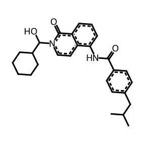 CC(C)Cc1ccc(C(=O)Nc2cccc3c(=O)n(C(O)C4CCCCC4)ccc23)cc1